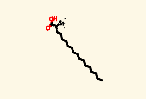 CCCCCCCCCCCCCCCC[CH]([Sn])C(=O)O